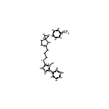 Cn1c(SCCCN2CCC3(C[C@@H]3c3ccc(C(F)(F)F)cc3)C2)nnc1-c1cccnn1